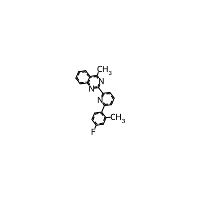 Cc1cc(F)ccc1-c1cccc(-c2nc(C)c3ccccc3n2)n1